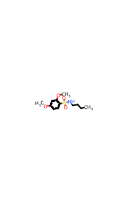 CCCCNS(=O)(=O)c1ccc(OC)cc1OC